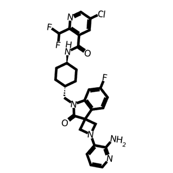 Nc1ncccc1N1CC2(C1)C(=O)N(C[C@H]1CC[C@H](NC(=O)c3cc(Cl)cnc3C(F)F)CC1)c1cc(F)ccc12